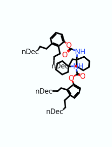 CCCCCCCCCCCCc1cccc(OC(=O)NC2(CC3(NC(=O)Oc4cccc(CCCCCCCCCCCC)c4CCCCCCCCCCCC)CCCCC3)CCCCC2)c1CCCCCCCCCCCC